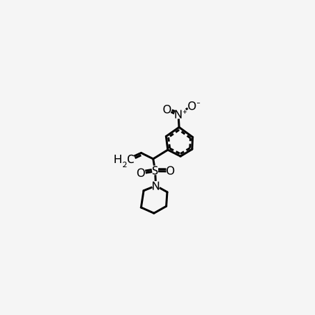 C=CC(c1cccc([N+](=O)[O-])c1)S(=O)(=O)N1CCCCC1